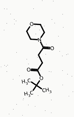 CC(C)(C)OC(=O)CCC(=O)N1CCOCC1